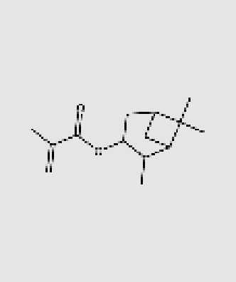 C=C(C)C(=O)OC1CC2CC(C1C)C2(C)C